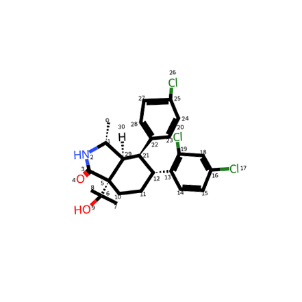 C[C@H]1NC(=O)[C@]2(C(C)(C)O)CC[C@@H](c3ccc(Cl)cc3Cl)[C@H](c3ccc(Cl)cc3)[C@H]12